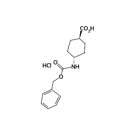 Cl.O=C(N[C@H]1CC[C@H](C(=O)O)CC1)OCc1ccccc1